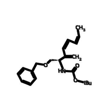 C=C(/C=C\C=C/C)[C@@H](COCc1ccccc1)NC(=O)OC(C)(C)C